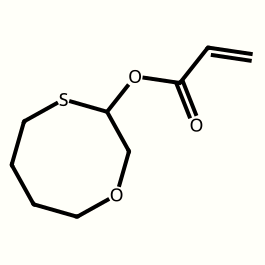 C=CC(=O)OC1COCCCCS1